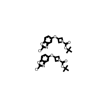 CC(C)(C)OC(=O)N1CC(Oc2ccc3oc(Cl)nc3c2)C1.CC(C)(C)OC(=O)N1CC(Oc2ccc3oc(Cl)nc3c2)C1